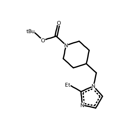 CCc1nccn1CC1CCN(C(=O)OC(C)(C)C)CC1